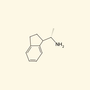 C[C@H](N)C1CCc2ccccc21